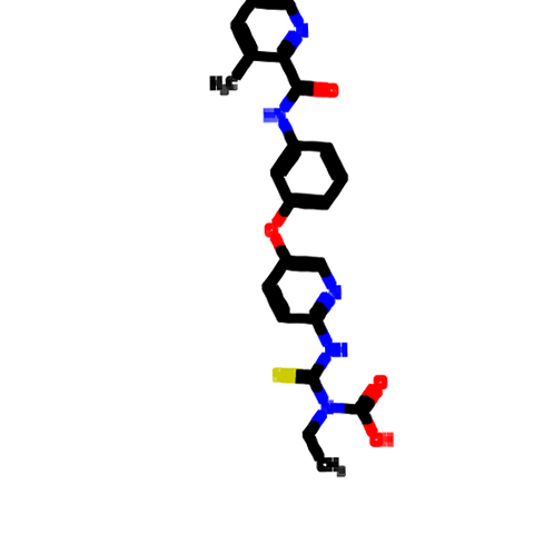 CCN(C(=O)O)C(=S)Nc1ccc(Oc2cccc(NC(=O)c3ncccc3C)c2)cn1